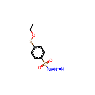 CCOSc1ccc(S(=O)(=O)N=[N+]=[N-])cc1